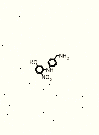 NCc1ccc(Nc2cc(O)ccc2[N+](=O)[O-])cc1